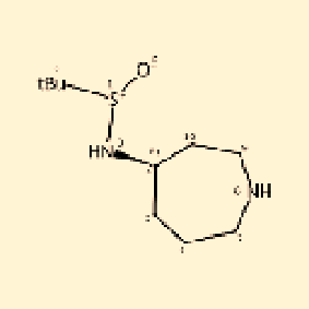 CC(C)(C)[S+]([O-])N[C@@H]1CCCNCC1